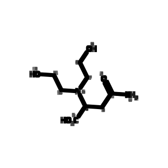 NC(=O)CC(C(=O)O)N(CCO)CCO